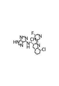 CC(Nc1ncnc2[nH]cnc12)c1cc2cccc(Cl)c2nc1-c1cncc(F)c1